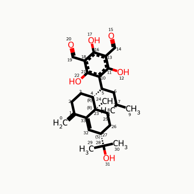 C=C1CC[C@H](C(CC(C)C)c2c(O)c(C=O)c(O)c(C=O)c2O)[C@@]2(C)CC[C@H](C(C)(C)O)C=C12